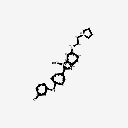 CCCCn1c(-c2ccc(Oc3cccc(Cl)c3)cc2)nc2ccc(OCCN3CCCC3)cc21